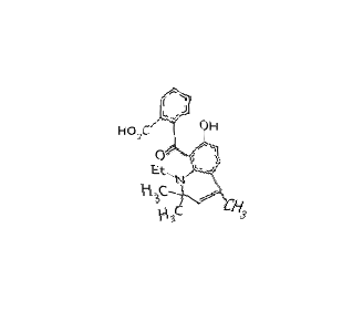 CCN1c2c(ccc(O)c2C(=O)c2ccccc2C(=O)O)C(C)=CC1(C)C